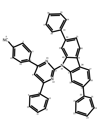 N#Cc1ccc(-c2cc(-c3ccccc3)nc(-n3c4cc(-c5ccccc5)ccc4c4ccc(-c5ccccc5)cc43)n2)cc1